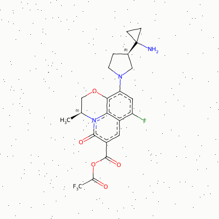 C[C@H]1COc2c(N3CC[C@@H](C4(N)CC4)C3)cc(F)c3cc(C(=O)OC(=O)C(F)(F)F)c(=O)n1c23